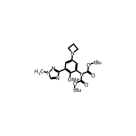 COc1c(-c2ncn(C)n2)cc(N2CCC2)cc1N(C(=O)OC(C)(C)C)C(=O)OC(C)(C)C